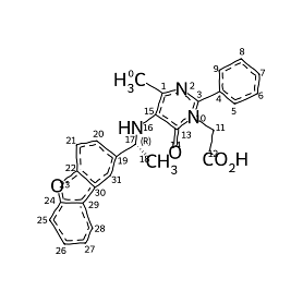 Cc1nc(-c2ccccc2)n(CC(=O)O)c(=O)c1N[C@H](C)c1ccc2oc3ccccc3c2c1